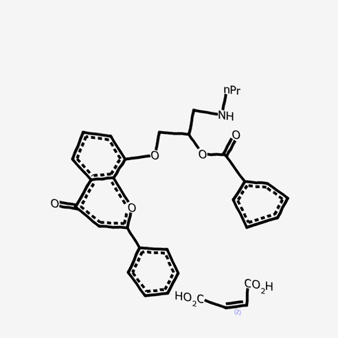 CCCNCC(COc1cccc2c(=O)cc(-c3ccccc3)oc12)OC(=O)c1ccccc1.O=C(O)/C=C\C(=O)O